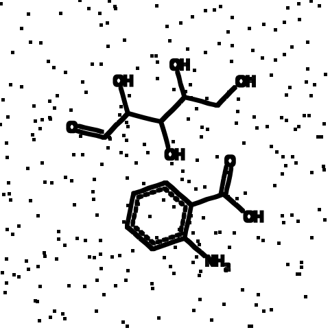 Nc1ccccc1C(=O)O.O=CC(O)C(O)C(O)CO